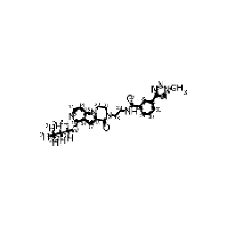 [2H]C([2H])([2H])C([2H])([2H])C([2H])([2H])Oc1nccc2c1cc1n2CCN(CCNC(=O)c2cccc(-c3nnn(C)n3)c2)C1=O